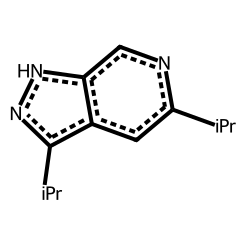 CC(C)c1cc2c(C(C)C)n[nH]c2cn1